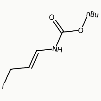 CCCCOC(=O)NC=CCI